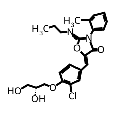 CCC/N=C1\O/C(=C\c2ccc(OC[C@H](O)CO)c(Cl)c2)C(=O)N1c1ccccc1C